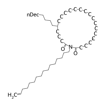 C=CCCCCCCCCCCCCCCN1C(=O)CCCCCCCCCCCCCCCCC(CCCCCCCCCCCCCC)CCCC1=O